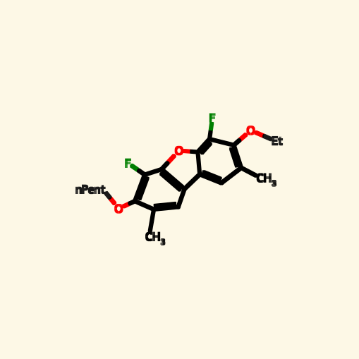 CCCCCOc1c(C)cc2c(oc3c(F)c(OCC)c(C)cc32)c1F